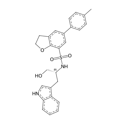 Cc1ccc(-c2cc3c(c(S(=O)(=O)N[C@@H](CO)Cc4c[nH]c5ccccc45)c2)OCC3)cc1